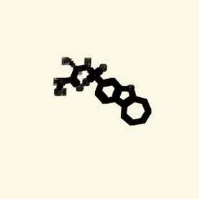 CC(C)[C@H](NS(=O)(=O)c1ccc2c3c(oc2c1)CCCCC3)C(=O)NO